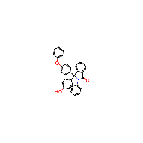 O=C1c2ccccc2C(c2ccc(O)cc2)(c2ccc(Oc3ccccc3)cc2)N1c1ccccc1